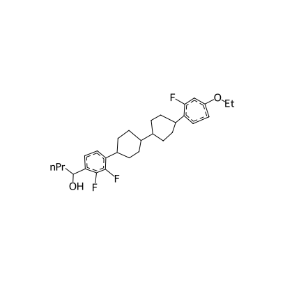 CCCC(O)c1ccc(C2CCC(C3CCC(c4ccc(OCC)cc4F)CC3)CC2)c(F)c1F